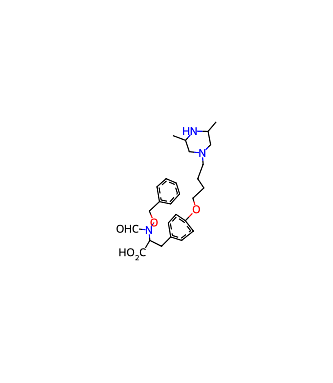 CC1CN(CCCCOc2ccc(CC(C(=O)O)N(C=O)OCc3ccccc3)cc2)CC(C)N1